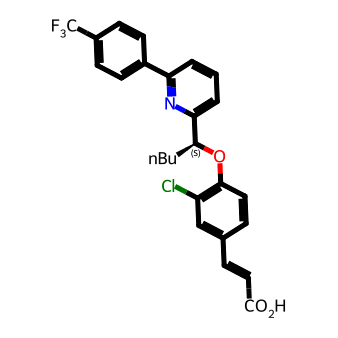 CCCC[C@H](Oc1ccc(C=CC(=O)O)cc1Cl)c1cccc(-c2ccc(C(F)(F)F)cc2)n1